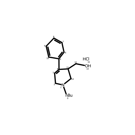 CCCCN1CC=C(c2ccccc2)C(CO)C1.Cl